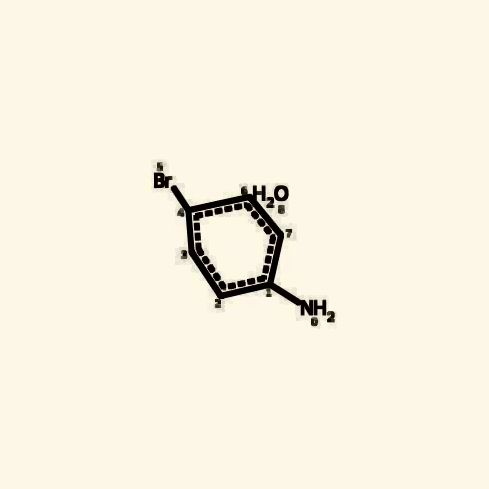 Nc1ccc(Br)cc1.O